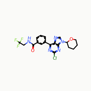 O=C(NCC(F)(F)F)c1cccc(-c2nc(Cl)nc3c2ncn3C2CCCCO2)c1